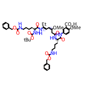 CC/C(=C\C=C(/CC(=O)N[C@@H](CCCCNC(=O)OCc1ccccc1)C(=O)Nc1ccc(OC)c(C(=O)O)c1)OC)NC(=O)[C@H](CCCCNC(=O)OCc1ccccc1)NC(=O)OC(C)(C)C